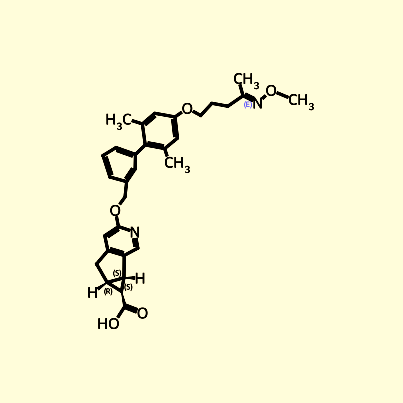 CO/N=C(\C)CCCOc1cc(C)c(-c2cccc(COc3cc4c(cn3)[C@H]3[C@@H](C4)[C@@H]3C(=O)O)c2)c(C)c1